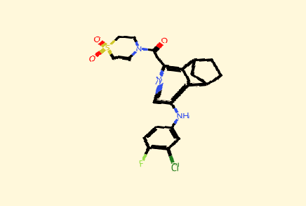 O=C(c1ncc(Nc2ccc(F)c(Cl)c2)c2c1C1CCC2C1)N1CCS(=O)(=O)CC1